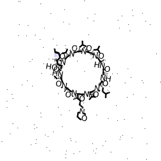 C/C=C/C[C@@H](C)[C@@H](O)[C@H]1C(=O)N[C@@H](CC)C(=O)N(C)[C@H](C)C(=O)N(C)[C@@H]([C@H](C)CCCN2CCCOC2)C(=O)N[C@@H](C(C)C)C(=O)N(C)[C@@H](CCC(C)C)C(=O)N[C@@H](C)C(=O)N[C@H](C)C(=O)N(C)[C@@H](CC(C)C)C(=O)N(C)[C@@H](CC(C)C)C(=O)N(C)[C@@H](C(C)C)C(=O)N1C